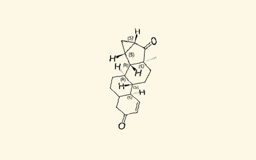 C[C@]12CC[C@H]3[C@@H](CCC4CC(=O)C=C[C@@H]43)[C@@H]1[C@@H]1C[C@@H]1C2=O